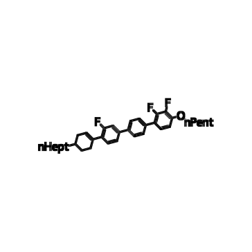 CCCCCCCC1CC=C(c2ccc(-c3ccc(-c4ccc(OCCCCC)c(F)c4F)cc3)cc2F)CC1